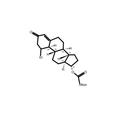 CCCCCCCCCC(=O)O[C@H]1CC[C@H]2[C@@H]3CCC4=CC(=O)CC(CC)[C@@H]4[C@H]3CC[C@@H]21